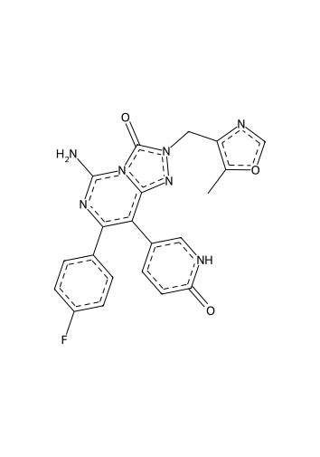 Cc1ocnc1Cn1nc2c(-c3ccc(=O)[nH]c3)c(-c3ccc(F)cc3)nc(N)n2c1=O